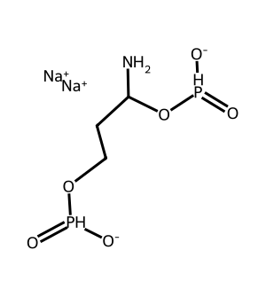 NC(CCO[PH](=O)[O-])O[PH](=O)[O-].[Na+].[Na+]